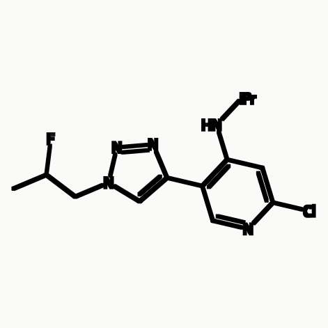 CC(F)Cn1cc(-c2cnc(Cl)cc2NC(C)C)nn1